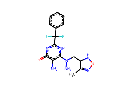 CC1=NONC1CN(N)c1[nH]c(C(F)(F)c2ccccc2)nc(=O)c1N